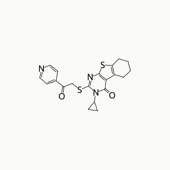 O=C(CSc1nc2sc3c(c2c(=O)n1C1CC1)CCCC3)c1ccncc1